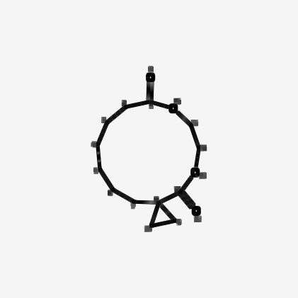 O=C1CCCCCCC2(CC2)C(=O)OCCO1